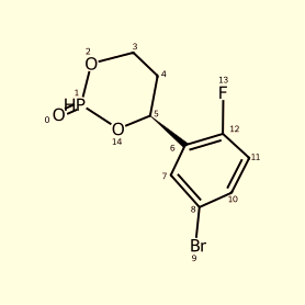 O=[PH]1OCC[C@@H](c2cc(Br)ccc2F)O1